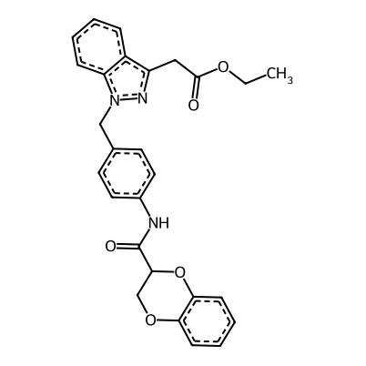 CCOC(=O)Cc1nn(Cc2ccc(NC(=O)C3COc4ccccc4O3)cc2)c2ccccc12